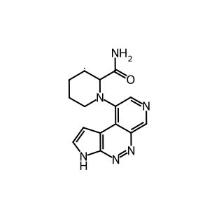 NC(=O)C1[CH]CCCN1c1cncc2nnc3[nH]ccc3c12